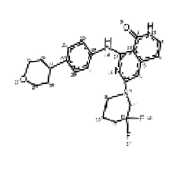 O=c1[nH]ccc2cc(N3CCCC(F)(F)C3)nc(Nc3ccc(C4CCOCC4)cc3)c12